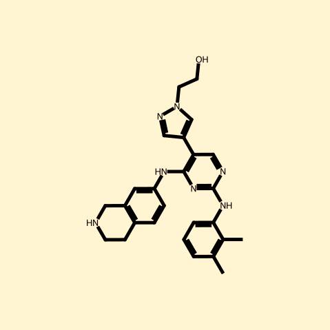 Cc1cccc(Nc2ncc(-c3cnn(CCO)c3)c(Nc3ccc4c(c3)CNCC4)n2)c1C